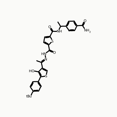 C/C(=N\NC(=O)c1ccc(C(=O)NC(C)c2ccc(C(N)=O)cc2)s1)c1csc(-c2ccc(C(C)(C)C)cc2)c1O